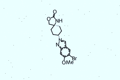 COc1cc2nn([C@H]3CC[C@]4(CC3)COC(=O)N4)cc2cc1Br